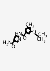 Cc1cc(OCC(C)C)cc(C(=O)Nc2ccc(C(N)=O)cn2)c1